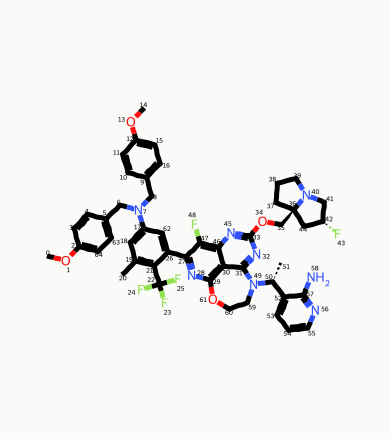 COc1ccc(CN(Cc2ccc(OC)cc2)c2cc(C)c(C(F)(F)F)c(-c3nc4c5c(nc(OC[C@@]67CCCN6C[C@H](F)C7)nc5c3F)N([C@H](C)c3cccnc3N)CCO4)c2)cc1